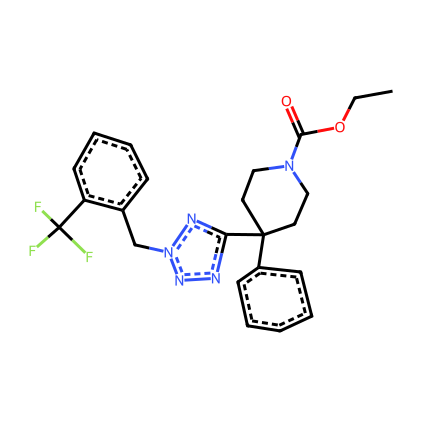 CCOC(=O)N1CCC(c2ccccc2)(c2nnn(Cc3ccccc3C(F)(F)F)n2)CC1